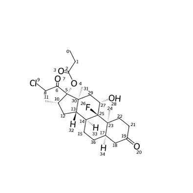 CCC(=O)O[C@@]1(C(=O)CCl)[C@@H](C)C[C@H]2[C@@H]3CC[C@@H]4CC(=O)CC[C@]4(C)[C@@]3(F)[C@@H](O)C[C@@]21C